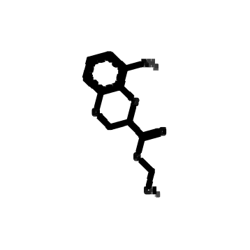 CCOC(=O)C1COc2cccc(N)c2O1